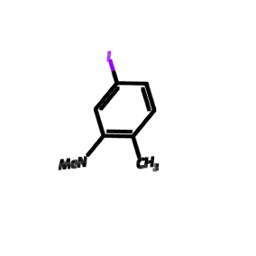 CNc1cc(I)ccc1C